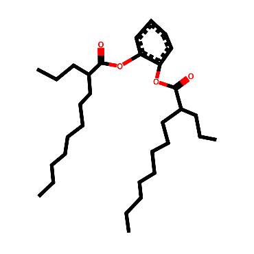 CCCCCCCCC(CCC)C(=O)Oc1ccccc1OC(=O)C(CCC)CCCCCCCC